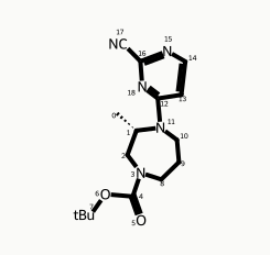 C[C@H]1CN(C(=O)OC(C)(C)C)CCCN1c1ccnc(C#N)n1